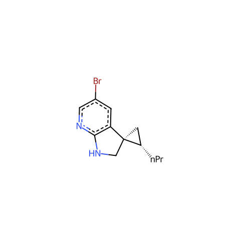 CCC[C@H]1C[C@@]12CNc1ncc(Br)cc12